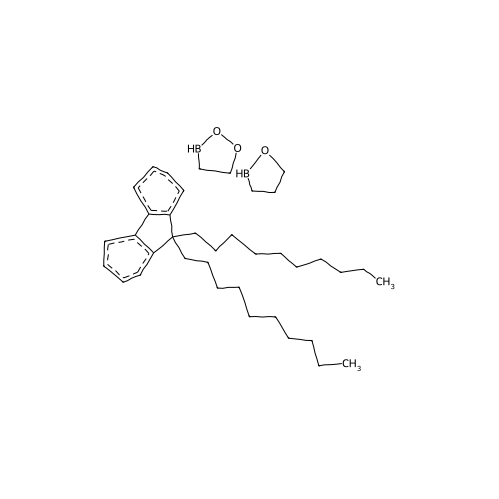 B1CCCO1.B1CCOO1.CCCCCCCCCCC1(CCCCCCCCCC)c2ccccc2-c2ccccc21